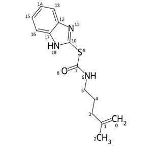 C=C(C)CCCNC(=O)Sc1nc2ccccc2[nH]1